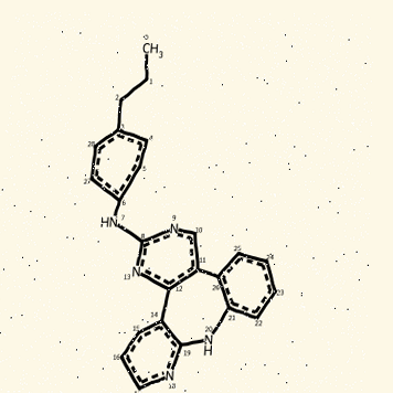 CCCc1ccc(Nc2ncc3c(n2)-c2cccnc2Nc2ccccc2-3)cc1